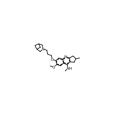 CNc1c2c(nc3cc(OCCCN4CC5CC(C5)C4)c(OC)cc13)CC(C)C2